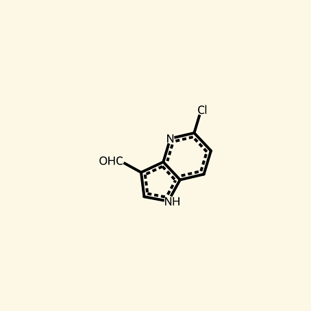 O=Cc1c[nH]c2ccc(Cl)nc12